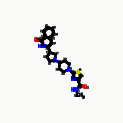 CNC(=O)c1csc(N2CCC(N3CCC(c4cc5ccccc5c(=O)[nH]4)C3)CC2)n1